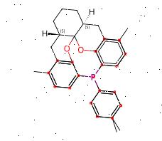 Cc1ccc(P(c2ccc(C)cc2)c2cccc3c2OC24Oc5c(cccc5P(c5ccc(C)cc5)c5ccc(C)cc5)C[C@@H]2CCC[C@H]4C3)cc1